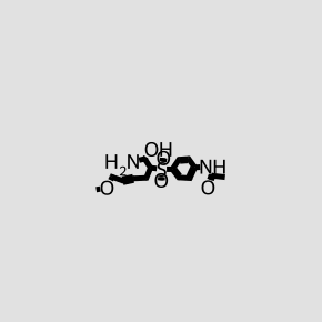 COCC#CCC(C(N)O)S(=O)(=O)c1ccc(NC(C)=O)cc1